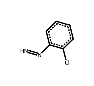 N=Nc1ccccc1Cl